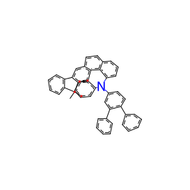 CC1(C)c2ccccc2-c2cc3ccc4cccc(N(c5ccccc5)c5ccc(-c6ccccc6)c(-c6ccccc6)c5)c4c3cc21